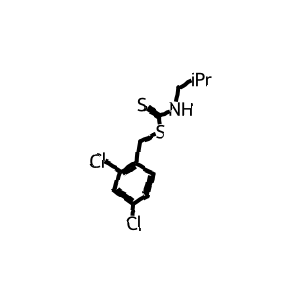 CC(C)CNC(=S)SCc1ccc(Cl)cc1Cl